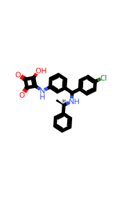 C[C@@H](NC(c1ccc(Cl)cc1)c1cccc(Nc2c(O)c(=O)c2=O)c1)c1ccccc1